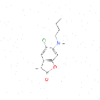 CCCCN(C)c1cc2c(cc1Cl)C(C)C(=O)O2